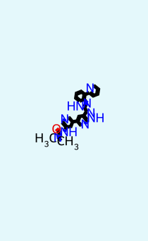 CN(C)C(=O)NC1=CN=CC(c2cnc3[nH]nc(-c4nc5c(-c6ccccn6)cccc5[nH]4)c3c2)C1